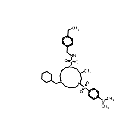 CCc1ccc(CNS(=O)(=O)N2CCCN(CC3CCCCC3)CCCN(S(=O)(=O)c3ccc(N(C)C)cc3)C[C@H](C)C2)cc1